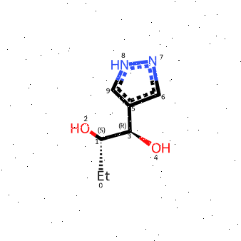 CC[C@H](O)[C@H](O)c1cn[nH]c1